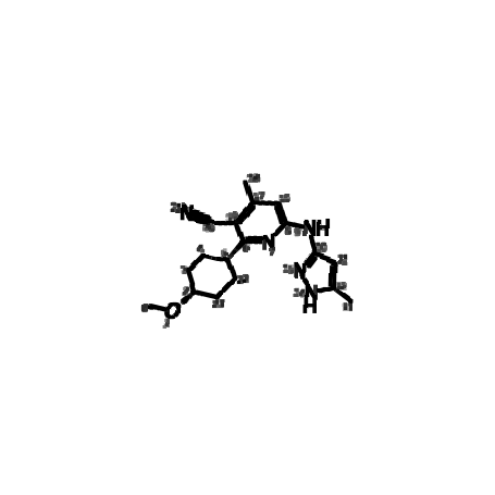 CO[C@H]1CC[C@@H](c2nc(Nc3cc(C)[nH]n3)cc(C)c2C#N)CC1